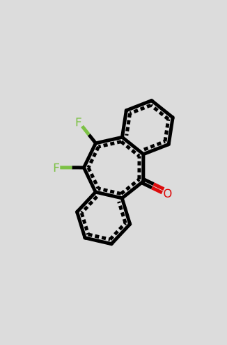 O=c1c2ccccc2c(F)c(F)c2ccccc12